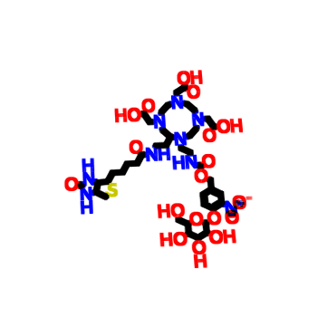 O=C(O)CN1CCN(CC(=O)O)CCN(CCNC(=O)OCc2ccc(OC3OC(CO)C(O)C(O)C3O)c([N+](=O)[O-])c2)C(CCNC(=O)CCCCC2SCC3NC(=O)NC32)CN(CC(=O)O)CC1